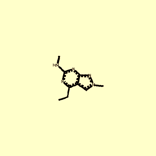 CCc1nc(NC)nc2nn(C)cc12